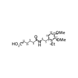 CCc1c(CCNC(=O)CCCCC(=O)O)ccc(OC)c1OC